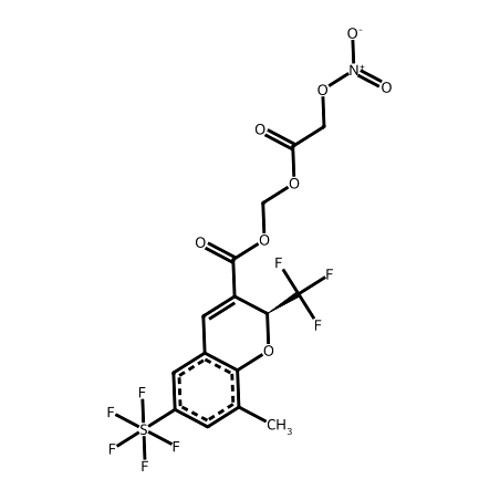 Cc1cc(S(F)(F)(F)(F)F)cc2c1O[C@H](C(F)(F)F)C(C(=O)OCOC(=O)CO[N+](=O)[O-])=C2